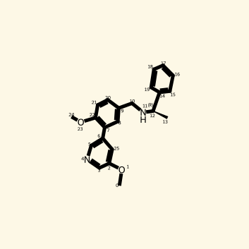 COc1cncc(-c2cc(CN[C@H](C)c3ccccc3)ccc2OC)c1